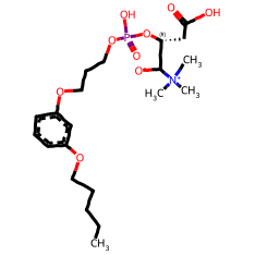 CCCCCOc1cccc(OCCCOP(=O)(O)O[C@H](CC(=O)O)C([O-])[N+](C)(C)C)c1